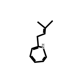 CC(C)=CCC1=CC=CC=CN1